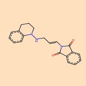 O=C1c2ccccc2C(=O)N1C=CCNN1CCCc2ccccc21